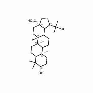 CC(C)(O)[C@@H]1CC[C@]2(C(=O)O)CC[C@]3(C)C(CCC4[C@@]5(C)CC[C@H](O)C(C)(C)C5CC[C@]43C)C12